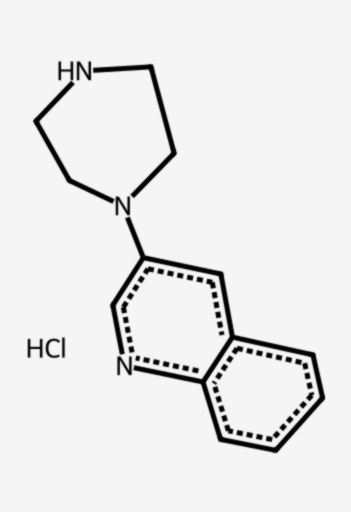 Cl.c1ccc2ncc(N3CCNCC3)cc2c1